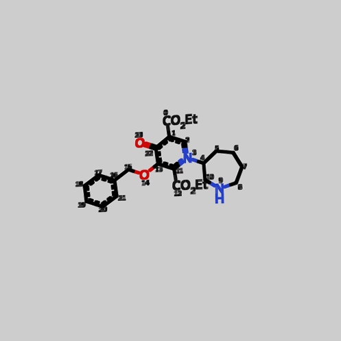 CCOC(=O)c1cn(C2CCCCNC2)c(C(=O)OCC)c(OCc2ccccc2)c1=O